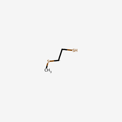 CS[CH]CS